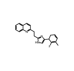 CC1=C(F)C(c2c[nH]c(CCc3ccc4ccccc4n3)n2)CC=C1